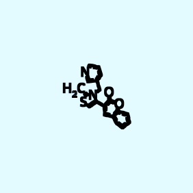 C=C1SC=C(c2cc3ccccc3oc2=O)N1Cc1cccnc1